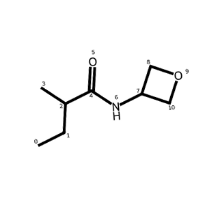 CCC(C)C(=O)NC1COC1